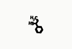 C=CC(S)c1ccccc1